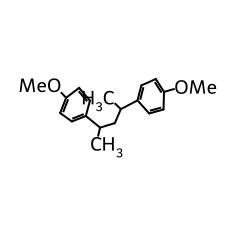 COc1ccc(C(C)CC(C)c2ccc(OC)cc2)cc1